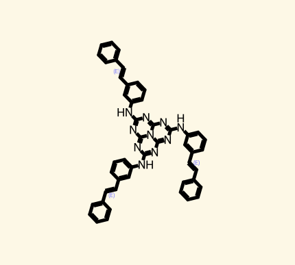 C(=C\c1cccc(NC2=NC3=NC(Nc4cccc(/C=C/c5ccccc5)c4)=NC4=NC(Nc5cccc(/C=C/c6ccccc6)c5)=NC(=N2)N34)c1)/c1ccccc1